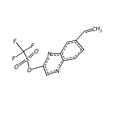 C=Cc1ccc2ncc(OS(=O)(=O)C(F)(F)F)nc2c1